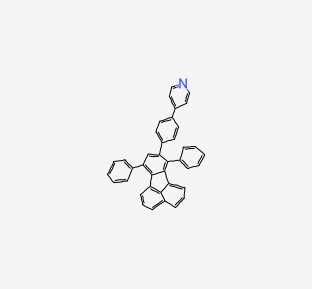 c1ccc(-c2cc(-c3ccc(-c4ccncc4)cc3)c(-c3ccccc3)c3c2-c2cccc4cccc-3c24)cc1